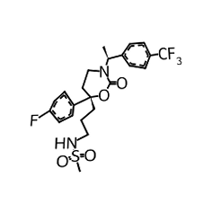 C[C@@H](c1ccc(C(F)(F)F)cc1)N1CC[C@@](CCCNS(C)(=O)=O)(c2ccc(F)cc2)OC1=O